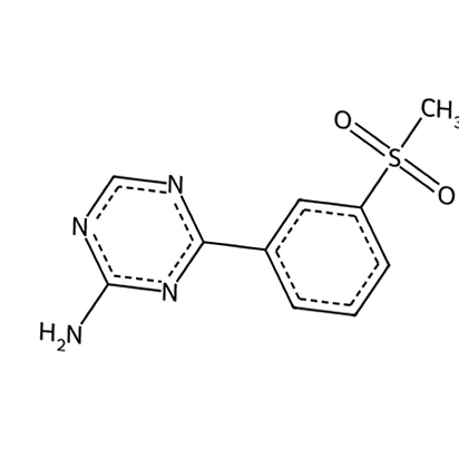 CS(=O)(=O)c1cccc(-c2ncnc(N)n2)c1